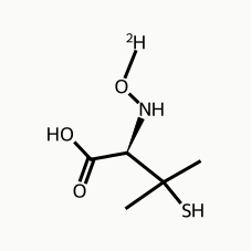 [2H]ON[C@H](C(=O)O)C(C)(C)S